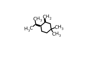 C=C1CC(C)(C)CCC1=C(C)C